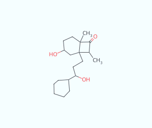 CC1C(=O)C2(C)CCC(O)CC12CCC(O)C1CCCCC1